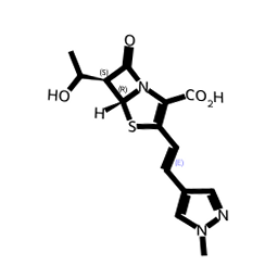 CC(O)[C@H]1C(=O)N2C(C(=O)O)=C(/C=C/c3cnn(C)c3)S[C@H]12